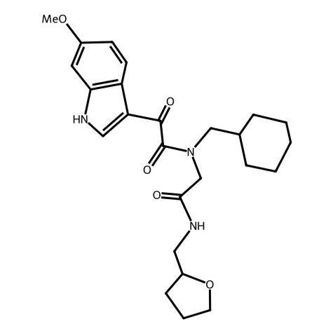 COc1ccc2c(C(=O)C(=O)N(CC(=O)NCC3CCCO3)CC3CCCCC3)c[nH]c2c1